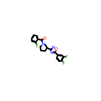 O=C(c1ccccc1F)N1CCCC(c2noc(-c3ccc(F)c(F)c3)n2)C1